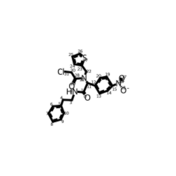 O=C(NCCc1ccccc1)C(c1ccc([N+](=O)[O-])cc1)N(Cc1cccs1)C(=O)CCl